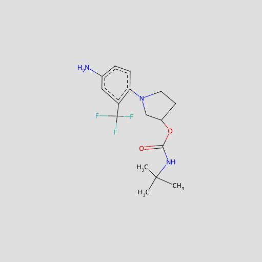 CC(C)(C)NC(=O)OC1CCN(c2ccc(N)cc2C(F)(F)F)C1